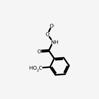 [O]ONC(=O)c1ccccc1C(=O)O